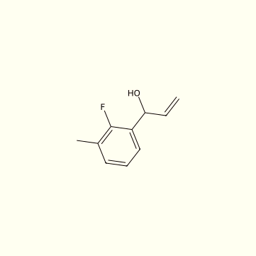 C=CC(O)c1cccc(C)c1F